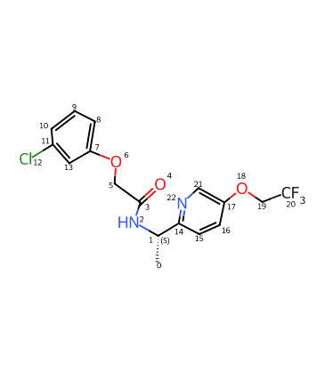 C[C@H](NC(=O)COc1cccc(Cl)c1)c1ccc(OCC(F)(F)F)cn1